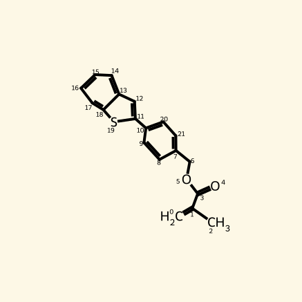 C=C(C)C(=O)OCc1ccc(-c2cc3ccccc3s2)cc1